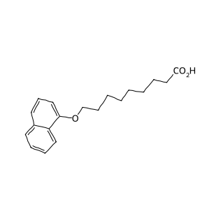 O=C(O)CCCCCCCCOc1cccc2ccccc12